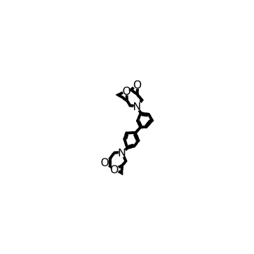 c1cc(-c2ccc(N(CC3CO3)CC3CO3)cc2)cc(N(CC2CO2)CC2CO2)c1